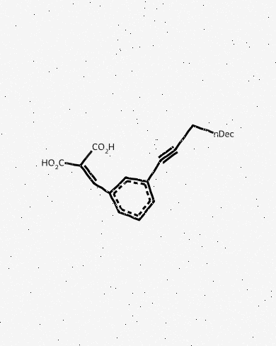 CCCCCCCCCCCC#Cc1cccc(C=C(C(=O)O)C(=O)O)c1